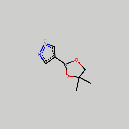 CC1(C)COB(c2cn[nH]c2)O1